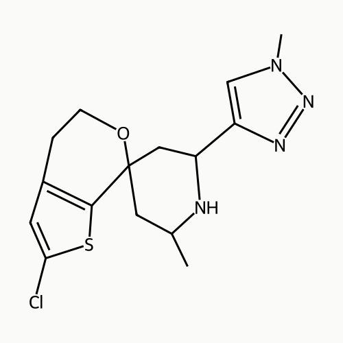 CC1CC2(CC(c3cn(C)nn3)N1)OCCc1cc(Cl)sc12